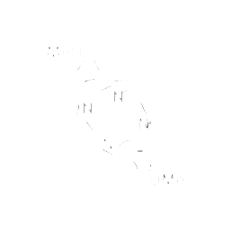 COc1ccc(C2=C3C=CC(=N3)C=C3C=CC(=N3)C(c3ccc(OC)cc3)=C3C=CC(=N3)C=C3C=CC2=N3)cc1